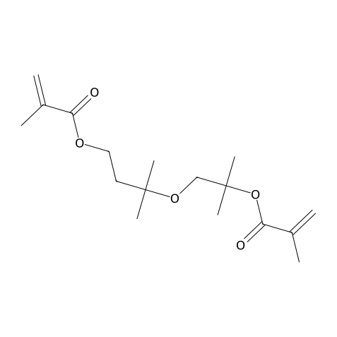 C=C(C)C(=O)OCCC(C)(C)OCC(C)(C)OC(=O)C(=C)C